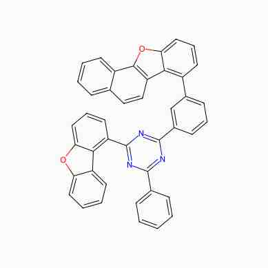 c1ccc(-c2nc(-c3cccc(-c4cccc5oc6c7ccccc7ccc6c45)c3)nc(-c3cccc4oc5ccccc5c34)n2)cc1